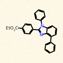 CCOC(=O)c1ccc(-c2nc3c(-c4ccccc4)cccc3n2-c2ccccc2)cc1